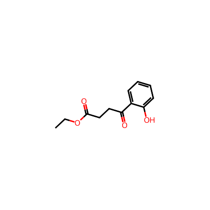 CCOC(=O)CCC(=O)c1ccccc1O